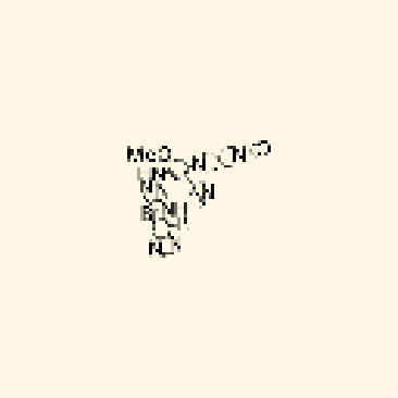 COc1cc(N2CCC3(CC2)CCN(C2COC2)CC3)c(-c2cnn(C)c2)cc1Nc1ncc(Br)c(Nc2ccc3nccnc3c2P(C)C)n1